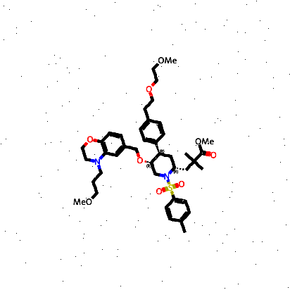 COCCCN1CCOc2ccc(CO[C@H]3CN(S(=O)(=O)c4ccc(C)cc4)[C@@H](CC(C)(C)C(=O)OC)C[C@@H]3c3ccc(CCOCCOC)cc3)cc21